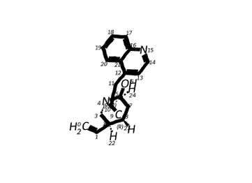 C=C[C@H]1C[N@]2C(O)C[C@H]1C[C@@H]2Cc1ccnc2ccccc12